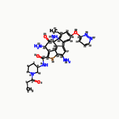 CCC(=O)N1CCCC(NC(=O)c2sc3c(N)ccc4c3c2C(N)C(=O)C4(N)c2ccc(Oc3cccnn3)cc2C)C1